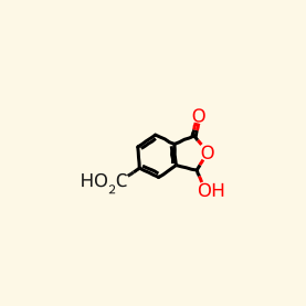 O=C(O)c1ccc2c(c1)C(O)OC2=O